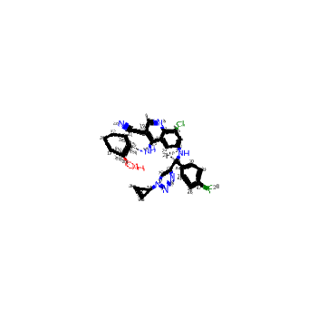 [2H][C@](Nc1cc(Cl)c2ncc(C#N)c(N[C@H]3CCCC[C@@H]3O)c2c1)(c1ccc(F)cc1)c1cn(C2CC2)nn1